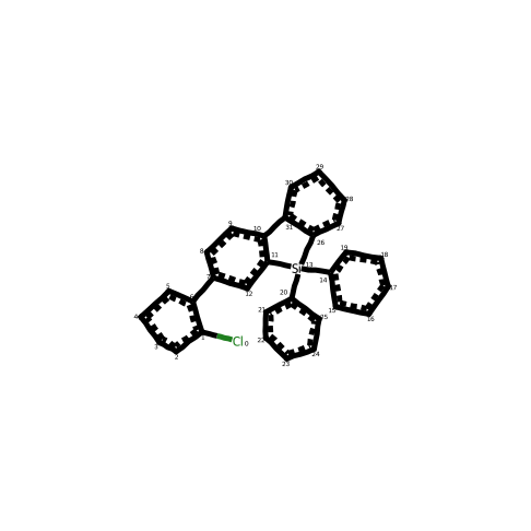 Clc1ccccc1-c1ccc2c(c1)[Si](c1ccccc1)(c1ccccc1)c1ccccc1-2